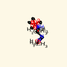 Cc1cc(/C=C/CCN2CCCC3(CCN(C(=O)OC(C)(C)C)CC3)C2)ccc1Cc1c(O[C@@H]2O[C@H](COC(=O)c3ccccc3)[C@@H](OC(=O)c3ccccc3)[C@H](OC(=O)c3ccccc3)[C@H]2CC(=O)c2ccccc2)n[nH]c1C(C)C